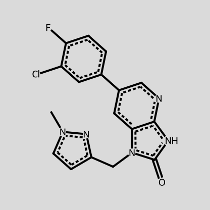 Cn1ccc(Cn2c(=O)[nH]c3ncc(-c4ccc(F)c(Cl)c4)cc32)n1